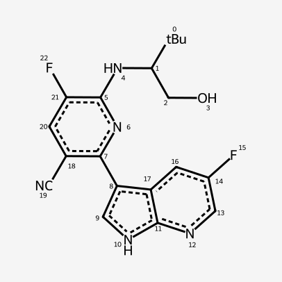 CC(C)(C)C(CO)Nc1nc(-c2c[nH]c3ncc(F)cc23)c(C#N)cc1F